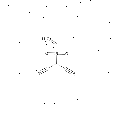 C=CS(=O)(=O)C(C#N)C#N